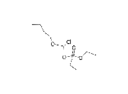 CCCCOC(Cl)OP(=O)(CC)OCC